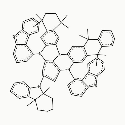 CC1(C)CCC(C)(C)c2cc3c(cc21)B1c2cc4c(cc2N(c2cccc5sc6ccccc6c25)c2cc(N5c6ccccc6C6(C)CCCCC56C)cc(c21)N3c1cccc2sc3ccccc3c12)C(C)(C)c1ccccc1C4(C)C